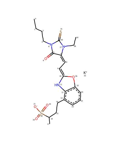 CCCCN1C(=O)C(=CC=C2Nc3c(CCC(C)S(=O)(=O)[O-])cccc3O2)N(CC)C1=S.[K+]